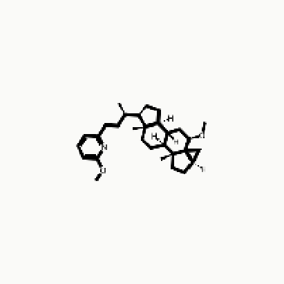 COc1cccc(CC[C@@H](C)[C@H]2CC[C@H]3[C@@H]4C[C@@H](OC)C56C[C@H]5CC[C@]6(C)[C@H]4CC[C@]23C)n1